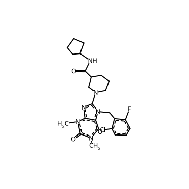 Cn1c(=O)c2c(nc(N3CCCC(C(=O)NC4CCCC4)C3)n2Cc2c(F)cccc2Cl)n(C)c1=O